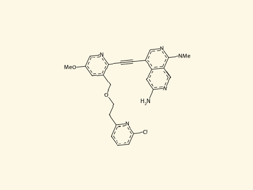 CNc1ncc(C#Cc2ncc(OC)cc2COCCc2cccc(Cl)n2)c2cc(N)ncc12